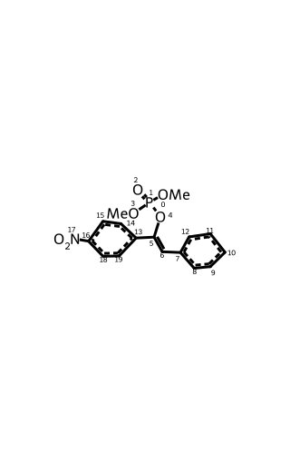 COP(=O)(OC)OC(=Cc1ccccc1)c1ccc([N+](=O)[O-])cc1